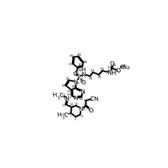 C[C@@H]1CCN(C(=O)CC#N)CC1/C=[N+](/C)c1ncnc2c1ccn2P(=O)(NCCCCNC(=O)OC(C)(C)C)Oc1ccccc1